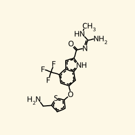 CNC(N)=NC(=O)c1cc2c(C(F)(F)F)cc(Oc3ccc(CN)s3)cc2[nH]1